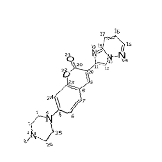 CN1CCN(c2ccc3cc(-c4cn5ncccc5n4)c(=O)oc3c2)CC1